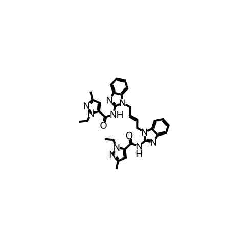 CCn1nc(C)cc1C(=O)Nc1nc2ccccc2n1C/C=C/Cn1c(NC(=O)c2cc(C)nn2CC)nc2ccccc21